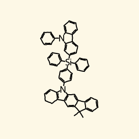 CC1(C)c2ccccc2-c2cc3c(cc21)c1c(n3-c2ccc([Si](c3ccccc3)(c3ccccc3)c3ccc4c5ccccc5n(-c5ccccc5)c4c3)cc2)C=CCC1